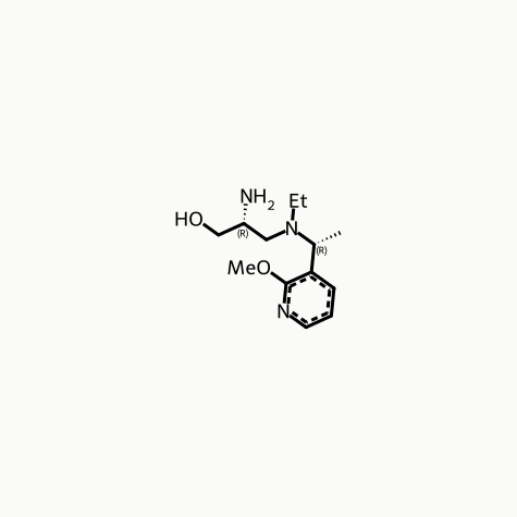 CCN(C[C@@H](N)CO)[C@H](C)c1cccnc1OC